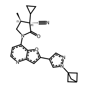 C[C@@H]1CN(c2ccnc3cc(-c4cnn(C56CC(C5)C6)c4)oc23)C(=O)[C@]1(C#N)C1CC1